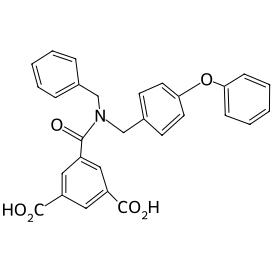 O=C(O)c1cc(C(=O)O)cc(C(=O)N(Cc2ccccc2)Cc2ccc(Oc3ccccc3)cc2)c1